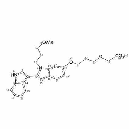 COCCCn1c(-c2c[nH]c3ccccc23)nc2ccc(OCCCCCC(=O)O)cc21